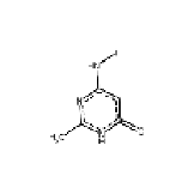 Cc1nc(NI)cc(=O)[nH]1